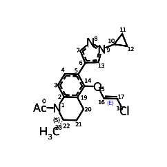 CC(=O)N1c2ccc(-c3cnn(C4CC4)c3)c(O/C=C/Cl)c2CC[C@@H]1C